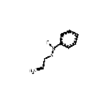 C=CCSN(F)c1ccccc1